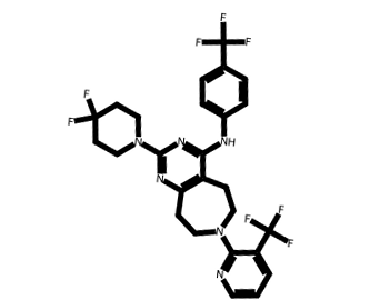 FC1(F)CCN(c2nc3c(c(Nc4ccc(C(F)(F)F)cc4)n2)CCN(c2ncccc2C(F)(F)F)CC3)CC1